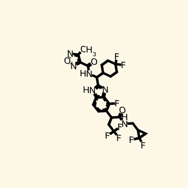 Cc1nonc1C(=O)NC(c1nc2c(F)c(C(CC(F)(F)F)C(=O)NCC3CC3(F)F)ccc2[nH]1)C1CCC(F)(F)CC1